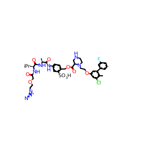 Cc1c(Cl)cc(OCCN2CCNCC2C(=O)OCc2ccc(NC(=O)[C@H](C)NC(=O)[C@@H](NC(=O)COCCN=[N+]=[N-])C(C)C)cc2S(=O)(=O)O)cc1-c1c[c]cc(F)c1